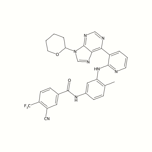 Cc1ccc(NC(=O)c2ccc(C(F)(F)F)c(C#N)c2)cc1Nc1ncccc1-c1ncnc2c1ncn2C1CCCCO1